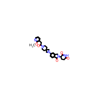 COc1ncccc1CC(=O)N1CCC2(CC1)CN(c1ccc3c(c1)CN(C1CCC(=O)NC1=O)C3=O)C2